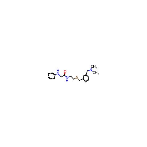 CN(C)Cc1cccc(CSCCNC(=O)CNc2ccccc2)c1